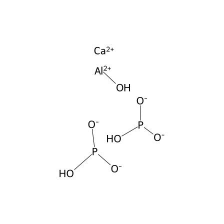 [Ca+2].[O-]P([O-])O.[O-]P([O-])O.[OH][Al+2]